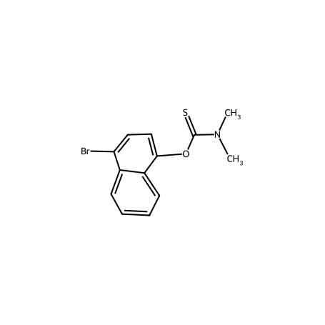 CN(C)C(=S)Oc1ccc(Br)c2ccccc12